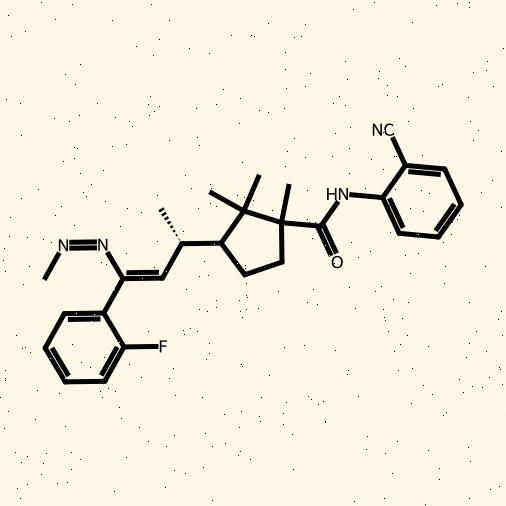 C/N=N\C(=C/[C@H](C)C1CCC(C)(C(=O)Nc2ccccc2C#N)C1(C)C)c1ccccc1F